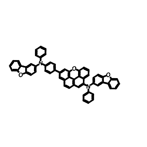 c1ccc(N(c2ccc(-c3cc4c5c(ccc6cc(N(c7ccccc7)c7ccc8oc9ccccc9c8c7)c7cccc(c7c65)O4)c3)cc2)c2ccc3oc4ccccc4c3c2)cc1